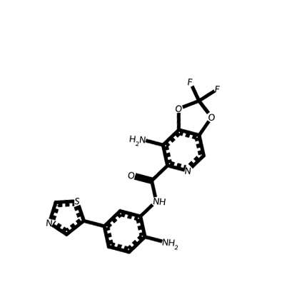 Nc1ccc(-c2cncs2)cc1NC(=O)c1ncc2c(c1N)OC(F)(F)O2